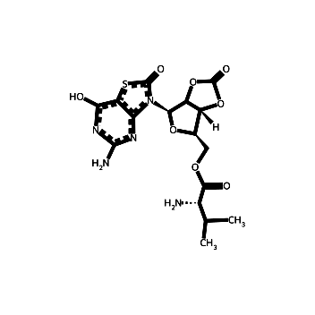 CC(C)[C@H](N)C(=O)OC[C@H]1O[C@@H](n2c(=O)sc3c(O)nc(N)nc32)C2OC(=O)O[C@@H]21